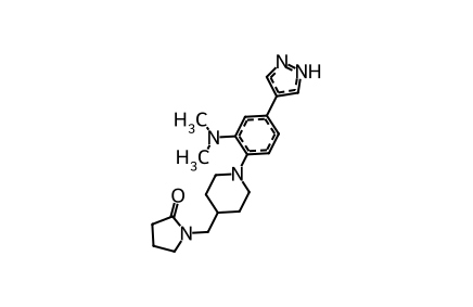 CN(C)c1cc(-c2cn[nH]c2)ccc1N1CCC(CN2CCCC2=O)CC1